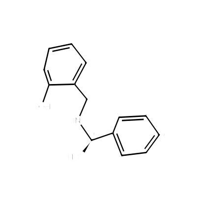 C[C@@H](NCc1ccccc1O)c1ccccc1